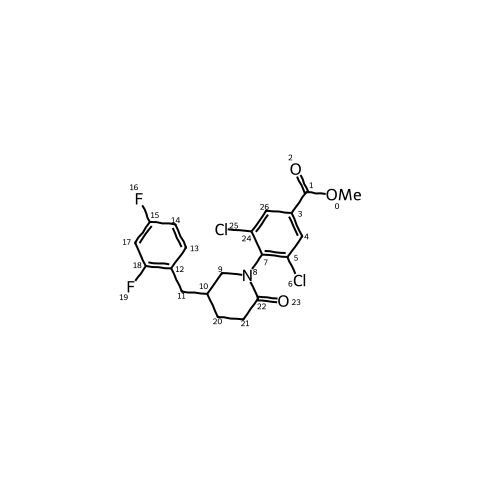 COC(=O)c1cc(Cl)c(N2CC(Cc3ccc(F)cc3F)CCC2=O)c(Cl)c1